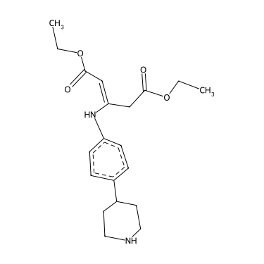 CCOC(=O)/C=C(/CC(=O)OCC)Nc1ccc(C2CCNCC2)cc1